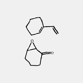 C=CC1=CCCCC1.O=C1CCCC2OC12